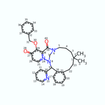 CC1(C)CCCN2CN(C(c3ccccn3)c3ccccc3CC1)n1ccc(=O)c(OCc3ccccc3)c1C2=O